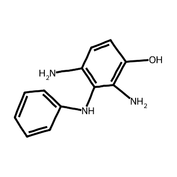 Nc1ccc(O)c(N)c1Nc1ccccc1